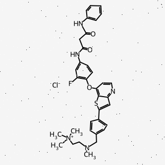 CN(CC[N+](C)(C)C)Cc1ccc(-c2cc3nccc(Oc4ccc(NC(=O)CC(=O)Nc5ccccc5)cc4F)c3s2)cc1.[Cl-]